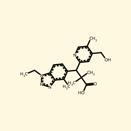 CCn1nnc2c(C)c(C(c3cc(CO)c(C)cn3)C(C)(C)C(=O)O)ccc21